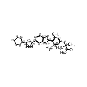 Cc1cc(CC(C)(C)C(=O)O)cc(C)c1-c1nc2ccc(-c3nnc(C4CCCCC4)o3)cc2[nH]1